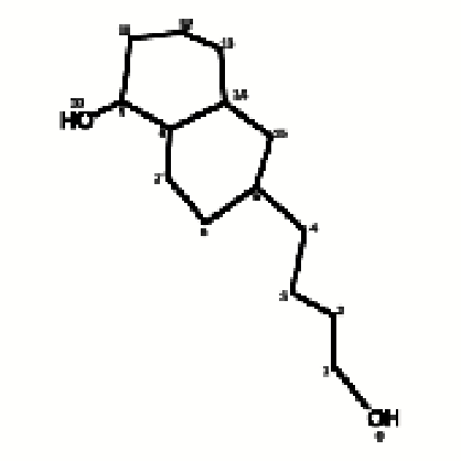 OCCCCC1CCC2C(O)CCCC2C1